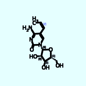 C/C=C\c1cn([C@@H]2O[C@H](CO)[C@@H](O)[C@H]2O)c(=O)nc1N